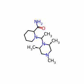 CC(N1CCCCC1C(N)=O)N1[C@H](C)CN(C)C[C@@H]1C